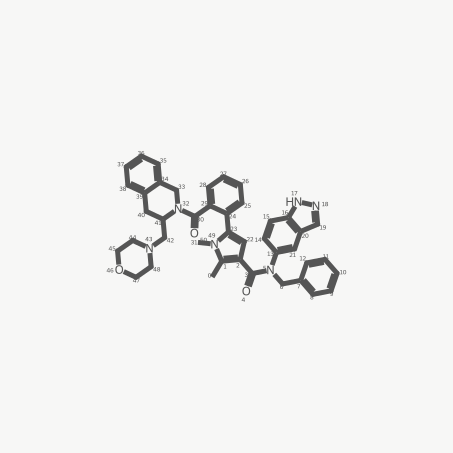 Cc1c(C(=O)N(Cc2ccccc2)c2ccc3[nH]ncc3c2)cc(-c2ccccc2C(=O)N2Cc3ccccc3CC2CN2CCOCC2)n1C